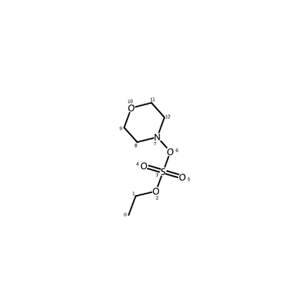 CCOS(=O)(=O)ON1CCOCC1